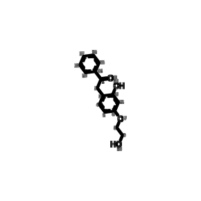 O=C(Cc1ccc(OCCO)cc1O)c1ccccc1